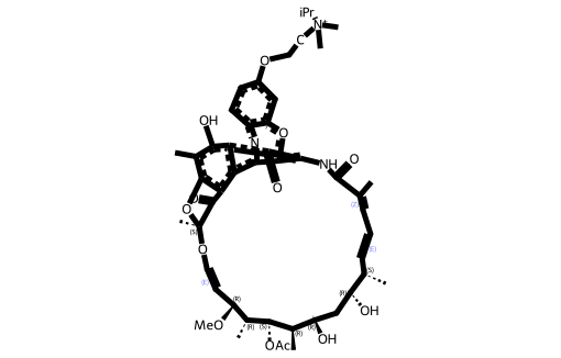 CO[C@H]1/C=C/O[C@@]2(C)Oc3c(C)c(O)c4c(=O)c(c5oc6cc(OCC[N+](C)(C)C(C)C)ccc6nc-5c4c3C2=O)NC(=O)/C(C)=C\C=C\[C@H](C)[C@H](O)C[C@@H](O)[C@@H](C)[C@H](OC(C)=O)[C@@H]1C